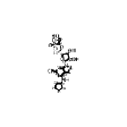 O=P(O)(O)C(CO)OC[C@H]1O[C@@H](n2ncc3c(NC4CCCC4)nc(Cl)nc32)[C@H](O)[C@@H]1O